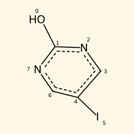 Oc1ncc(I)cn1